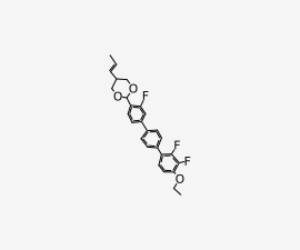 C/C=C/C1COC(c2ccc(-c3ccc(-c4ccc(OCC)c(F)c4F)cc3)cc2F)OC1